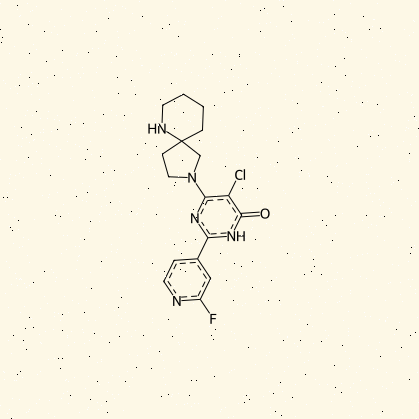 O=c1[nH]c(-c2ccnc(F)c2)nc(N2CCC3(CCCCN3)C2)c1Cl